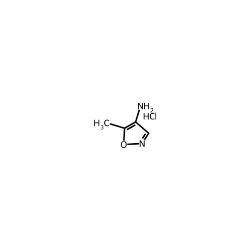 Cc1oncc1N.Cl